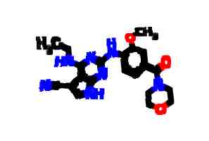 CCNc1nc(Nc2ccc(C(=O)N3CCOCC3)cc2OC)nc2[nH]cc(C#N)c12